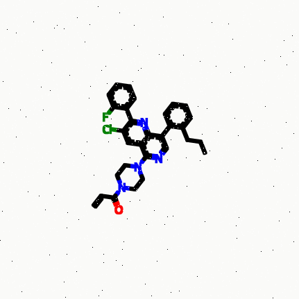 C=CC(=O)N1CCN(c2ncc(-c3ccccc3CCC)c3nc(-c4ccccc4F)c(Cl)cc23)CC1